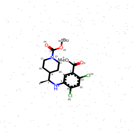 COC(=O)c1cc(N[C@@H](C)C2CCN(C(=O)OC(C)(C)C)CC2)c(Cl)cc1Cl